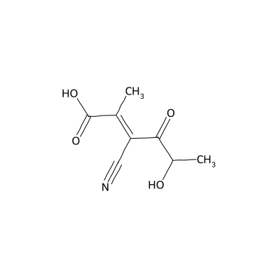 C/C(C(=O)O)=C(/C#N)C(=O)C(C)O